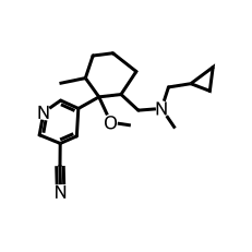 COC1(c2cncc(C#N)c2)C(C)CCCC1CN(C)CC1CC1